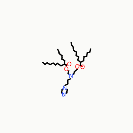 CCCCCCCCC(CCCCCC)C(=O)OCCCN(CCCCN1CCN(C)CC1)CCOC(=O)C(CCCCCC)CCCCCCCC